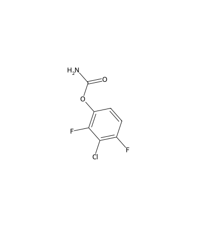 NC(=O)Oc1ccc(F)c(Cl)c1F